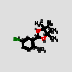 CC1(C)OB(c2cc(Br)ccc2[N+](=O)[O-])OC1(C)C